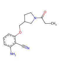 CCC(=O)N1CCC(COc2cccc(N)c2C#N)C1